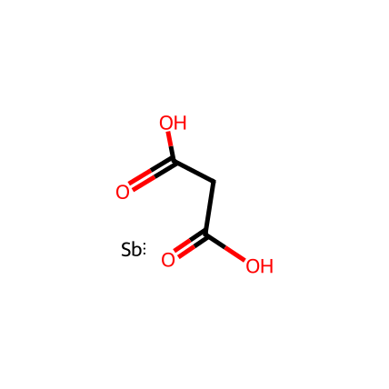 O=C(O)CC(=O)O.[Sb]